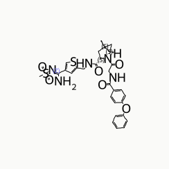 C[C@@]12C[C@@H]1N(C(=O)CNC(=O)c1ccc(Oc3ccccc3)cc1)[C@H](C(=O)NCc1cc(/C(N)=N/S(C)(=O)=O)cs1)C2